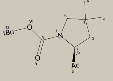 CC(=O)[C@@H]1CC(C)(C)CN1C(=O)OC(C)(C)C